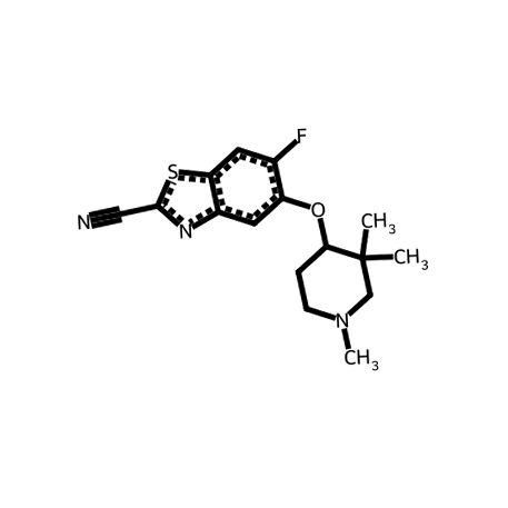 CN1CCC(Oc2cc3nc(C#N)sc3cc2F)C(C)(C)C1